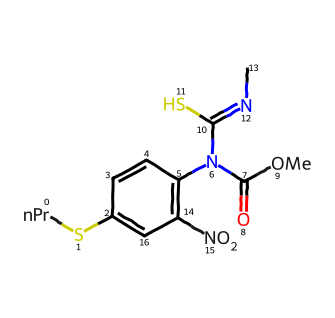 CCCSc1ccc(N(C(=O)OC)C(S)=NC)c([N+](=O)[O-])c1